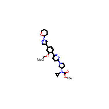 COCOc1cc(-c2cnn(C3CCCCO3)c2)ccc1-c1ccc(N2CC[C@@H](N(C(=O)OC(C)(C)C)C3CC3)C2)nn1